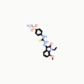 CCN1C(=O)C(=NNC(=S)Nc2ccc(S(N)(=O)=O)cc2)c2cccc(OC)c21